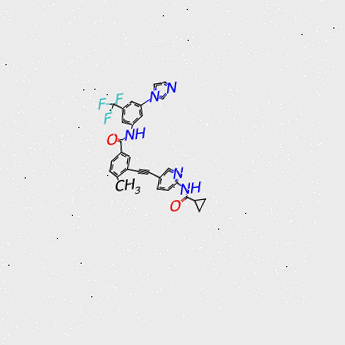 Cc1ccc(C(=O)Nc2cc(-n3ccnc3)cc(C(F)(F)F)c2)cc1C#Cc1ccc(NC(=O)C2CC2)nc1